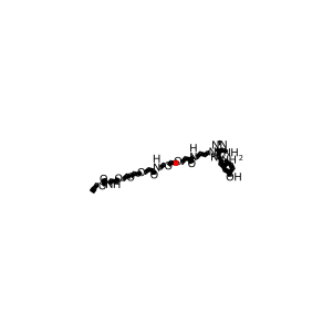 C#CCOC(=O)NCCOCCOCCOCCC(=O)NCCOCCOCCC(=O)NCCCCn1nc(-c2cc3cc(O)ccc3[nH]2)c2c(N)ncnc21